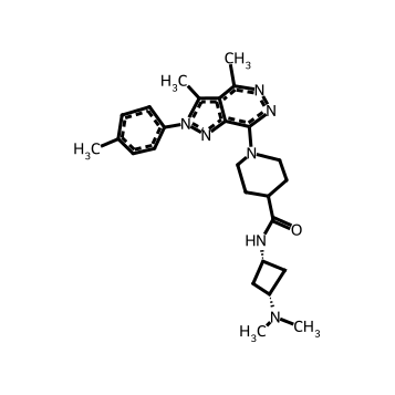 Cc1ccc(-n2nc3c(N4CCC(C(=O)N[C@H]5C[C@@H](N(C)C)C5)CC4)nnc(C)c3c2C)cc1